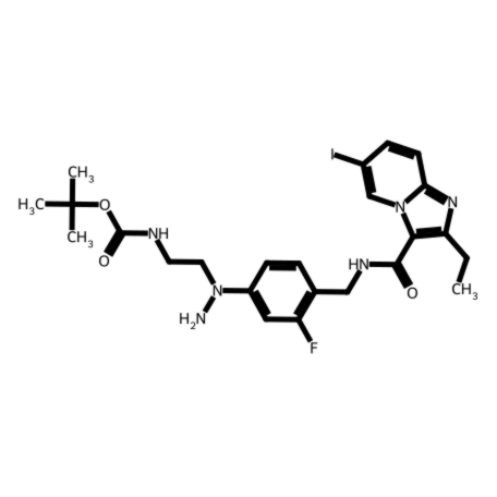 CCc1nc2ccc(I)cn2c1C(=O)NCc1ccc(N(N)CCNC(=O)OC(C)(C)C)cc1F